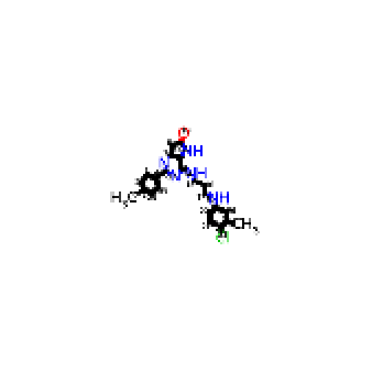 Cc1ccc(C2=NC3=CC(=O)NC3C(NCCCNc3ccc(Cl)c(C)c3)=N2)cc1